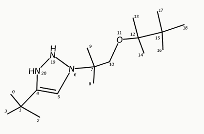 CC(C)(C)C1=CN(C(C)(C)COC(C)(C)C(C)(C)C)NN1